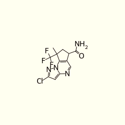 CC1(C(F)(F)F)CC(C(N)=O)c2cnc3cc(Cl)nn3c21